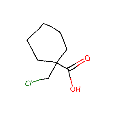 O=C(O)C1(CCl)CCCCC1